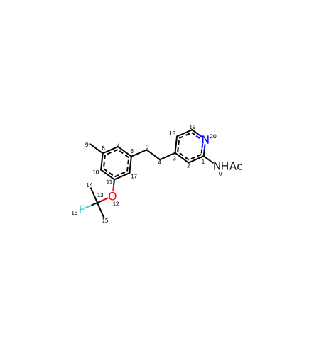 CC(=O)Nc1cc(CCc2cc(C)cc(OC(C)(C)F)c2)ccn1